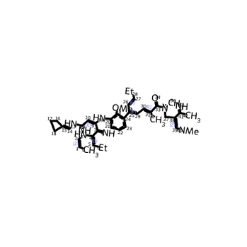 C/C=C\N/C(=C/CC)C(=N)/C(=C\C(=N)NC=C1CCC1)Nc1cccc(C(/C=C/CC)=C/C=C(\C)C(=O)N(C)C/C(=C/NC)C(C)=N)c1OC